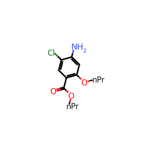 CCCOC(=O)c1cc(Cl)c(N)cc1OCCC